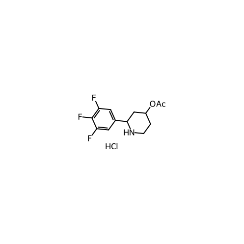 CC(=O)OC1CCNC(c2cc(F)c(F)c(F)c2)C1.Cl